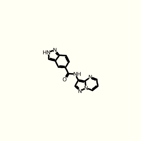 O=C(Nc1cnn2cccnc12)c1ccc2n[nH]cc2c1